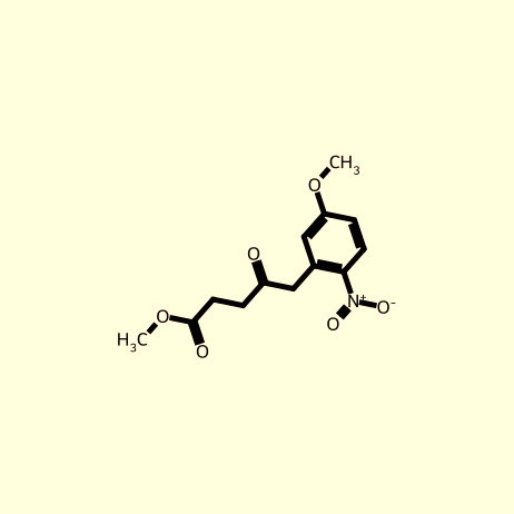 COC(=O)CCC(=O)Cc1cc(OC)ccc1[N+](=O)[O-]